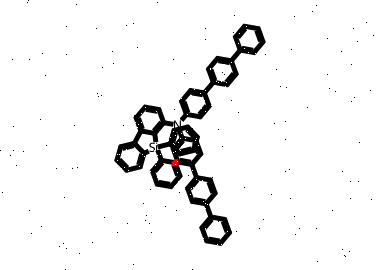 c1ccc(-c2ccc(-c3ccc(N(c4ccc(-c5ccc(-c6ccccc6)cc5)cc4)c4cccc5c4[Si](c4ccccc4)(c4ccccc4)c4ccccc4-5)cc3)cc2)cc1